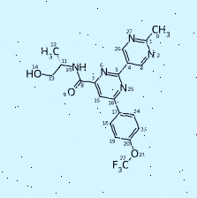 Cc1ncc(-c2nc(C(=O)N[C@@H](C)CO)cc(-c3ccc(OC(F)(F)F)cc3)n2)cn1